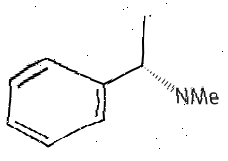 [CH2][C@H](NC)c1ccccc1